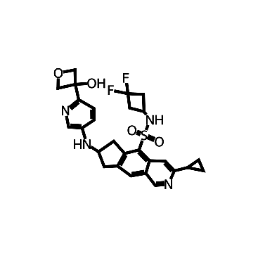 O=S(=O)(NC1CC(F)(F)C1)c1c2c(cc3cnc(C4CC4)cc13)CC(Nc1ccc(C3(O)COC3)nc1)C2